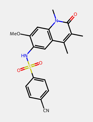 COc1cc2c(cc1NS(=O)(=O)c1ccc(C#N)cc1)c(C)c(C)c(=O)n2C